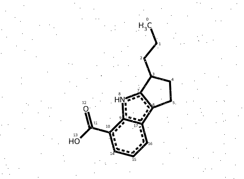 CCCC1CCc2c1[nH]c1c(C(=O)O)cccc21